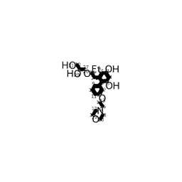 CCc1c(O)cc(O)c(-c2cccc(OCCN3CCOCC3)c2)c1CCOCC(O)CO